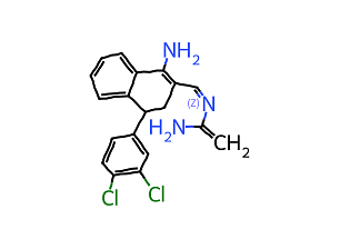 C=C(N)/N=C\C1=C(N)c2ccccc2C(c2ccc(Cl)c(Cl)c2)C1